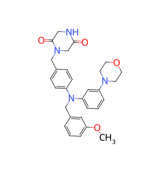 COc1cccc(CN(c2ccc(CN3CC(=O)NCC3=O)cc2)c2cccc(N3CCOCC3)c2)c1